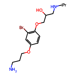 CC(C)NCC(O)COc1ccc(OCCCN)cc1Br